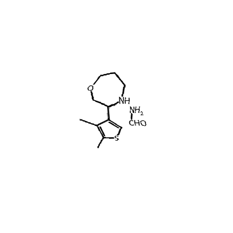 Cc1scc(C2COCCCN2)c1C.NC=O